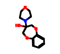 OC1(N2CCOCC2)COc2ccccc2OC1